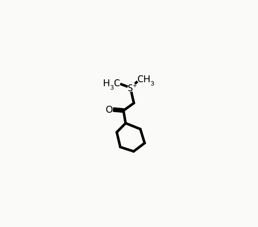 C[S+](C)CC(=O)C1CCCCC1